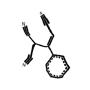 N#CC=C(c1ccccc1)C(C#N)C#N